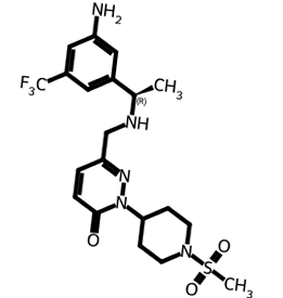 C[C@@H](NCc1ccc(=O)n(C2CCN(S(C)(=O)=O)CC2)n1)c1cc(N)cc(C(F)(F)F)c1